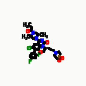 C=CC(=O)N1C[C@H](C)N(c2nc(=O)n3c4c(c(-c5ccc(F)cc5F)c(Cl)cc24)OC[C@H]3CCCN2CCS(=O)(=O)CC2)C[C@H]1C